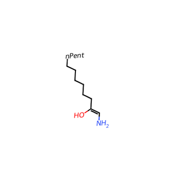 CCCCCCCCCCC/C(O)=C/N